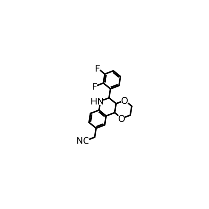 N#CCc1ccc2c(c1)C1OCCOC1C(c1cccc(F)c1F)N2